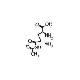 CC(=O)NC(=O)CC[C@H](N)C(=O)O.[AlH3]